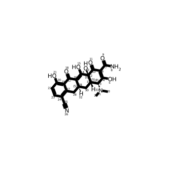 CN(C)[C@H]1C(O)=C(C(N)=O)C(=O)[C@@]2(O)C(O)=C3C(=O)c4c(O)ccc(C#N)c4C[C@@H]3C[C@@H]12